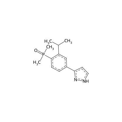 CC(C)c1cc(-c2cc[nH]n2)ccc1P(C)(C)=O